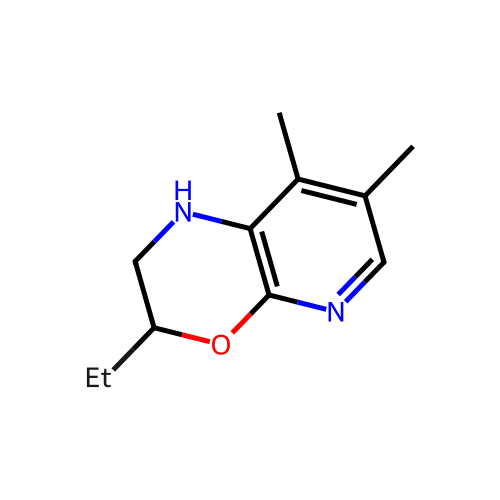 CCC1CNc2c(ncc(C)c2C)O1